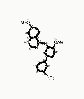 COc1ccc2c(Nc3cc(-c4cccc(N)c4)ccc3OC)ncnc2c1